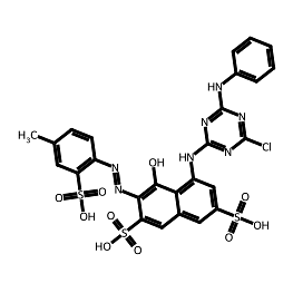 Cc1ccc(N=Nc2c(S(=O)(=O)O)cc3cc(S(=O)(=O)O)cc(Nc4nc(Cl)nc(Nc5ccccc5)n4)c3c2O)c(S(=O)(=O)O)c1